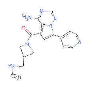 Nc1ncnn2c(-c3ccncc3)cc(C(=O)N3CC(CNC(=O)O)C3)c12